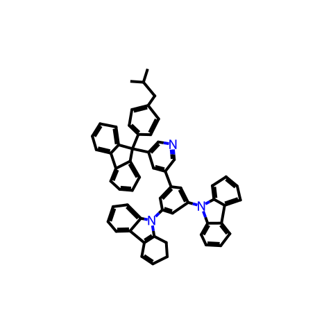 CC(C)Cc1ccc(C2(c3cncc(-c4cc(-n5c6c(c7ccccc75)C=CCC6)cc(-n5c6ccccc6c6ccccc65)c4)c3)c3ccccc3-c3ccccc32)cc1